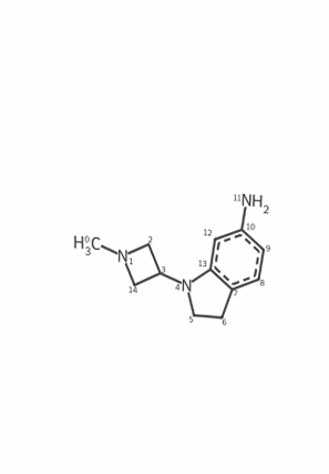 CN1CC(N2CCc3ccc(N)cc32)C1